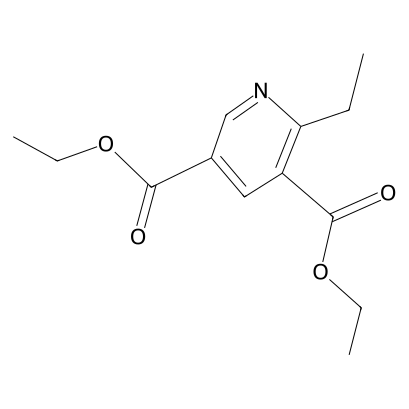 CCOC(=O)c1cnc(CC)c(C(=O)OCC)c1